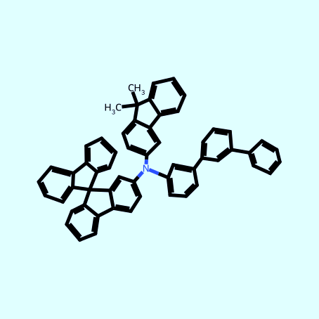 CC1(C)c2ccccc2-c2cc(N(c3cccc(-c4cccc(-c5ccccc5)c4)c3)c3ccc4c(c3)C3(c5ccccc5-c5ccccc53)c3ccccc3-4)ccc21